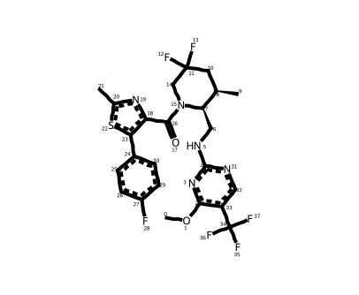 COc1nc(NC[C@@H]2[C@H](C)CC(F)(F)CN2C(=O)c2nc(C)sc2-c2ccc(F)cc2)ncc1C(F)(F)F